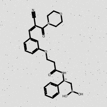 N#CC(=Cc1cccc(OCCC(=O)N[C@@H](CB(O)O)c2ccccc2)c1)C(=O)N1CCOCC1